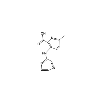 Cc1ccc(Nc2cnccn2)c(C(=O)O)n1